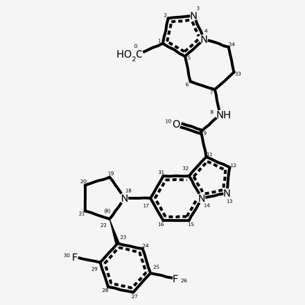 O=C(O)c1cnn2c1CC(NC(=O)c1cnn3ccc(N4CCC[C@@H]4c4cc(F)ccc4F)cc13)CC2